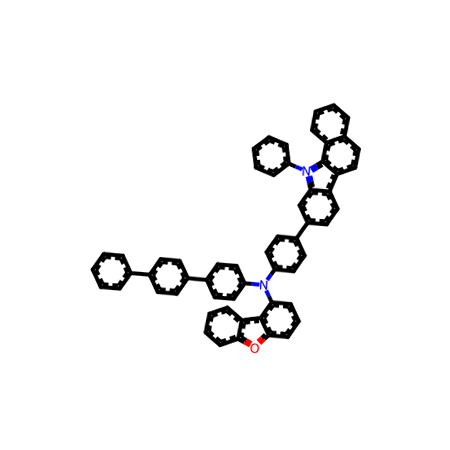 c1ccc(-c2ccc(-c3ccc(N(c4ccc(-c5ccc6c7ccc8ccccc8c7n(-c7ccccc7)c6c5)cc4)c4cccc5oc6ccccc6c45)cc3)cc2)cc1